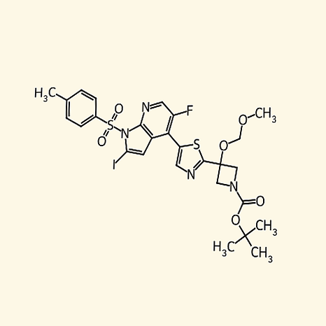 COCOC1(c2ncc(-c3c(F)cnc4c3cc(I)n4S(=O)(=O)c3ccc(C)cc3)s2)CN(C(=O)OC(C)(C)C)C1